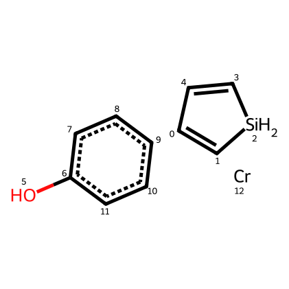 C1=C[SiH2]C=C1.Oc1ccccc1.[Cr]